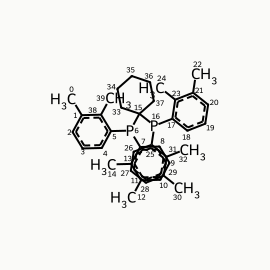 Cc1cccc(P(c2cccc(C)c2C)C2(P(c3cccc(C)c3C)c3cccc(C)c3C)CCCCC2)c1C